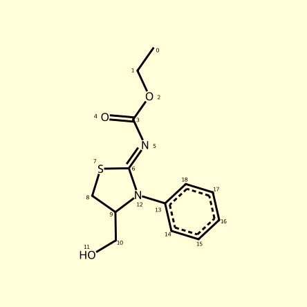 CCOC(=O)/N=C1\SCC(CO)N1c1ccccc1